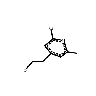 Cc1cc(CC[O])cc(Cl)n1